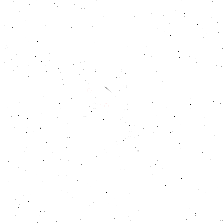 C=C[C@](C)(CCC=C(C)C)OC(C)=O